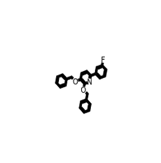 Fc1cccc(-c2ccc(OCc3ccccc3)c(OCc3ccccc3)n2)c1